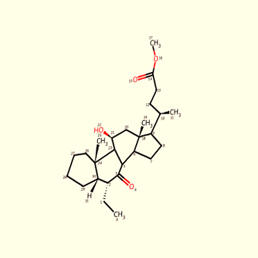 CC[C@H]1C(=O)C2C3CCC([C@H](C)CCC(=O)OC)[C@@]3(C)C[C@H](O)C2[C@@]2(C)CCCC[C@@H]12